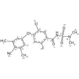 Cc1cc(Oc2cc(F)c(C(=O)NS(=O)(=O)N(C)C)cc2Cl)cc(C)c1C#N